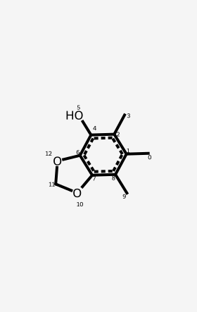 Cc1c(C)c(O)c2c(c1C)OCO2